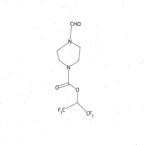 O=CN1CCN(C(=O)OC(C(F)(F)F)C(F)(F)F)CC1